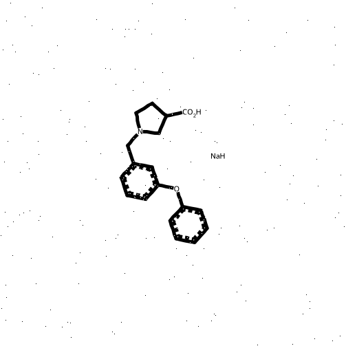 O=C(O)C1CCN(Cc2cccc(Oc3ccccc3)c2)C1.[NaH]